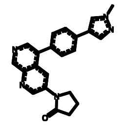 Cn1cc(-c2ccc(-c3cncc4ncc(N5CCCC5=O)cc34)cc2)cn1